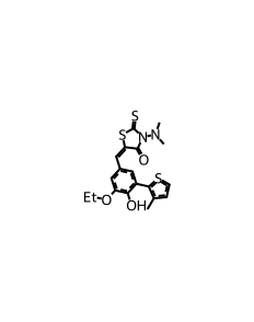 CCOc1cc(C=C2SC(=S)N(N(C)C)C2=O)cc(-c2sccc2C)c1O